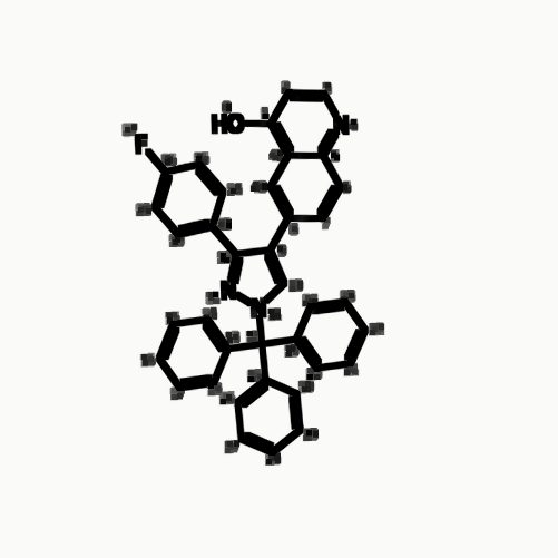 Oc1ccnc2ccc(-c3cn(C(c4ccccc4)(c4ccccc4)c4ccccc4)nc3-c3ccc(F)cc3)cc12